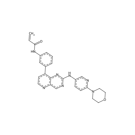 C=CC(=O)Nc1cccc(-c2ccnc3cnc(Nc4ccc(N5CCOCC5)nc4)nc23)c1